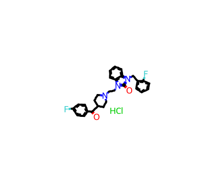 Cl.O=C(c1ccc(F)cc1)C1CCN(CCn2c(=O)n(Cc3ccccc3F)c3ccccc32)CC1